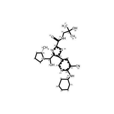 C[C@H]1CCCN1C(O)c1nc(C(=O)NCC(C)(C)O)sc1-c1cnc(NC2CCCCC2)c(C#N)c1